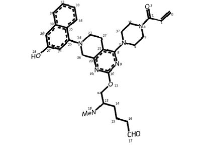 C=CC(=O)N1CCN(c2nc(OCC(CCCC=O)NC)nc3c2CCN(c2cc(O)cc4ccccc24)C3)CC1